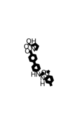 COc1ccc(C)cc1NC(=O)Nc1ccc(C2CCC(C(=O)N3CCC[C@@H]3C(=O)O)CC2)cc1